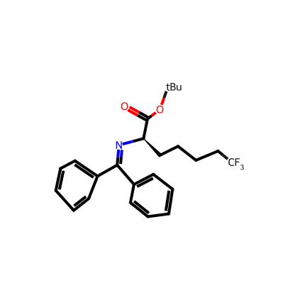 CC(C)(C)OC(=O)[C@@H](CCCCC(F)(F)F)N=C(c1ccccc1)c1ccccc1